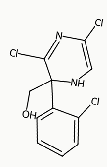 OCC1(c2ccccc2Cl)NC=C(Cl)N=C1Cl